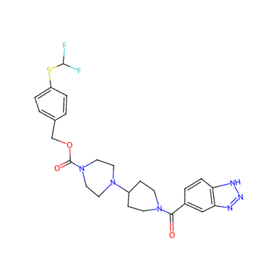 O=C(OCc1ccc(SC(F)F)cc1)N1CCN(C2CCN(C(=O)c3ccc4[nH]nnc4c3)CC2)CC1